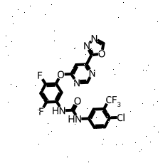 O=C(Nc1ccc(Cl)c(C(F)(F)F)c1)Nc1cc(Oc2cc(-c3nnco3)ncn2)c(F)cc1F